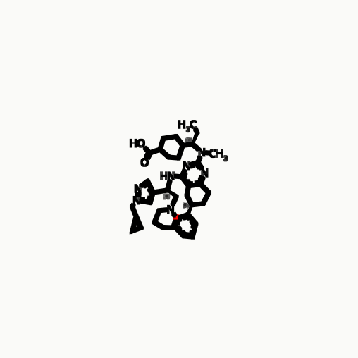 CC[C@H](C1CCC(C(=O)O)CC1)N(C)c1nc2c(c(N[C@@H](CN3CCCCC3)c3cnn(CC4CC4)c3)n1)C[C@H](c1ccccc1)CC2